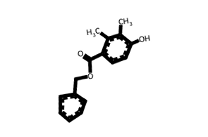 Cc1c(O)ccc(C(=O)OCc2ccccc2)c1C